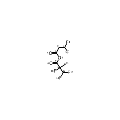 O=C(CC(F)F)OC(=O)C(F)(F)C(F)F